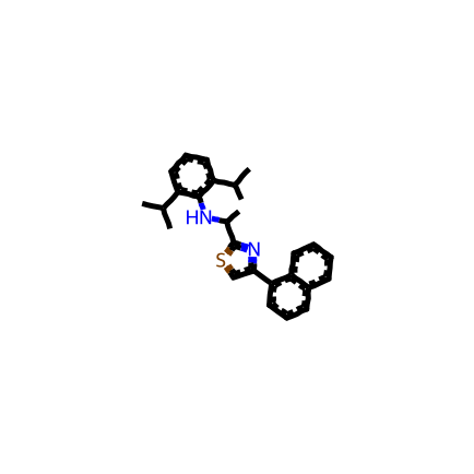 CC(C)c1cccc(C(C)C)c1NC(C)c1nc(-c2cccc3ccccc23)cs1